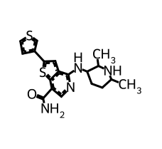 CC1CCC(Nc2ncc(C(N)=O)c3sc(-c4ccsc4)cc23)C(C)N1